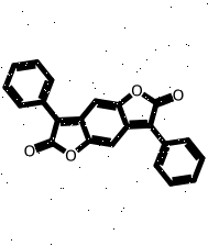 O=C1Oc2cc3c(cc2=C1c1ccccc1)OC(=O)C=3c1ccccc1